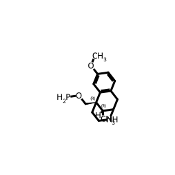 COc1ccc2c(c1)[C@@]1(COP)CCNC(C2)[C@@H]1C